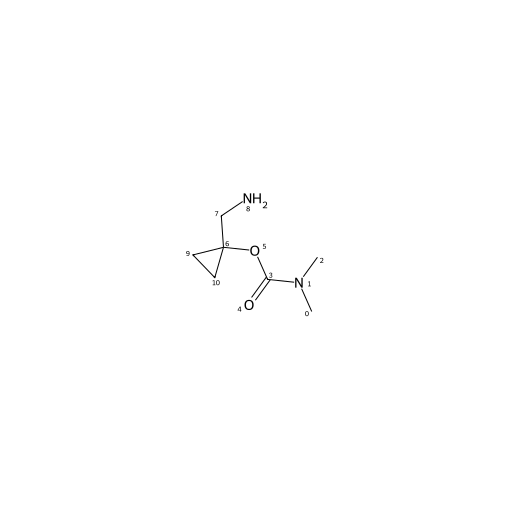 CN(C)C(=O)OC1(CN)CC1